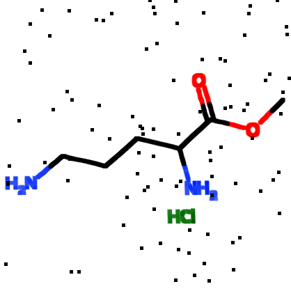 COC(=O)C(N)CCCN.Cl